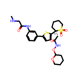 CNCC(=O)Nc1cccc(-c2ccc([C@@]3(CC(=O)NOC4CCCCO4)CCCCS3(=O)=O)s2)c1